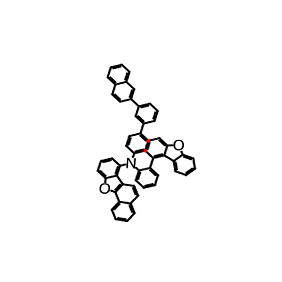 c1cc(-c2ccc(N(c3ccccc3-c3cccc4oc5ccccc5c34)c3cccc4oc5c6ccccc6ccc5c34)cc2)cc(-c2ccc3ccccc3c2)c1